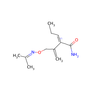 C=C(CON=C(C)C)/C(=C\CC)C(N)=O